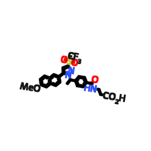 COc1ccc2cc(-c3cc(S(=O)(=O)C(F)(F)F)nn3C(C)c3ccc(C(=O)NCCC(=O)O)cc3)ccc2c1